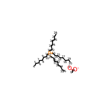 CC(=O)[O-].CCCCCCCC[P+](CCCCCCCC)(CCCCCCCC)CCCCCCCC